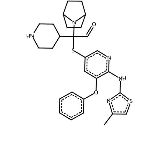 Cc1csc(Nc2ncc(SC(C=O)(C3CCNCC3)N3C4CCC3CC4)cc2Oc2ccccc2)n1